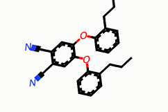 CCCc1ccccc1Oc1cc(C#N)c(C#N)cc1Oc1ccccc1CCC